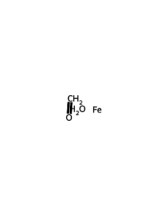 C=O.O.[Fe]